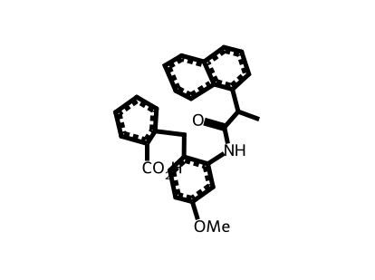 COc1ccc(Cc2ccccc2C(=O)O)c(NC(=O)C(C)c2cccc3ccccc23)c1